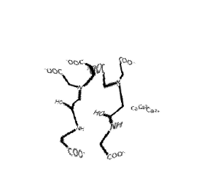 O=C([O-])CNC(O)CN(CC(=O)[O-])CC(=O)[O-].O=C([O-])CNC(O)CN(CC(=O)[O-])CC(=O)[O-].[Ca+2].[Ca+2].[Ca+2]